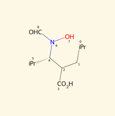 CC(C)CC(C(=O)O)[C@H](C(C)C)N(O)C=O